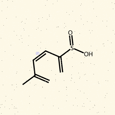 C=C(C)/C=C\C(=C)S(=O)O